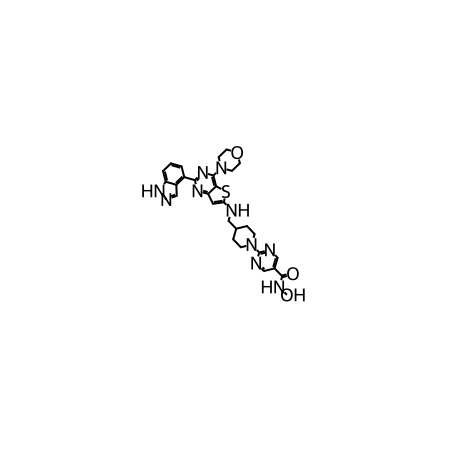 O=C(NO)c1cnc(N2CCC(CNc3cc4nc(-c5cccc6[nH]ncc56)nc(N5CCOCC5)c4s3)CC2)nc1